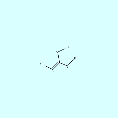 FC=C(CF)CF